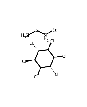 CC[SiH2]S[SiH3].Cl[C@H]1[C@H](Cl)[C@@H](Cl)[C@@H](Cl)[C@H](Cl)[C@H]1Cl